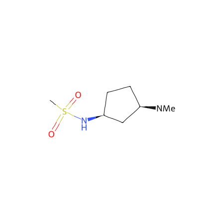 CN[C@@H]1CC[C@H](NS(C)(=O)=O)C1